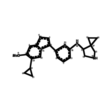 COc1cc2ncc(-c3cccc(NC4CNCC45CC5)n3)n2cc1C1CC1